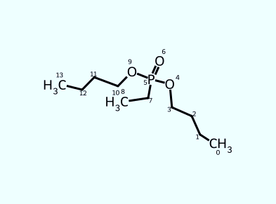 CCCCOP(=O)(CC)OCCCC